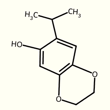 CC(C)c1cc2c(cc1O)OCCO2